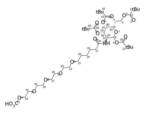 CC(C)(C)C(=O)OCC[C@@H]1OC(OC(=O)C(C)(C)C)[C@@H](NC(=O)CCCCCOCCOCCOCCOCCOC(=O)O)[C@H](OC(=O)C(C)(C)C)[C@@H]1OC(=O)C(C)(C)C